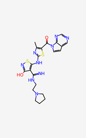 Cc1nc(Nc2snc(O)c2C(=N)NCCN2CCCC2)sc1C(=O)n1ccc2cncnc21